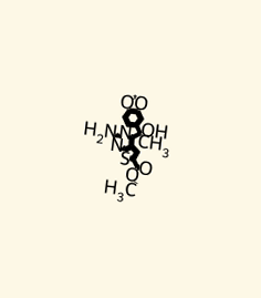 CCOC(=O)c1cc2c(C(C)(O)c3ccc4c(c3)OCO4)nc(N)nc2s1